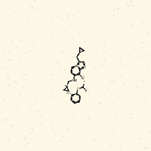 FC(F)Oc1ccccc1[C@@H]1C[C@H]1CNc1ccn2c(CC3CC3)nnc2c1Cl